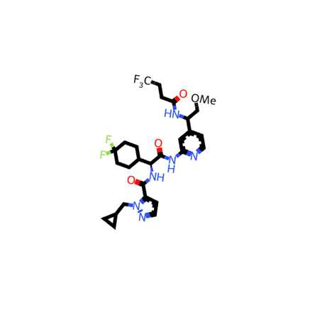 COCC(NC(=O)CCC(F)(F)F)c1ccnc(NC(=O)[C@@H](NC(=O)c2ccnn2CC2CC2)C2CCC(F)(F)CC2)c1